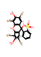 O=S1(=O)OC2(c3ccccc31)c1cc(Br)c(O)c(Br)c1Oc1c2cc(Br)c(O)c1Br